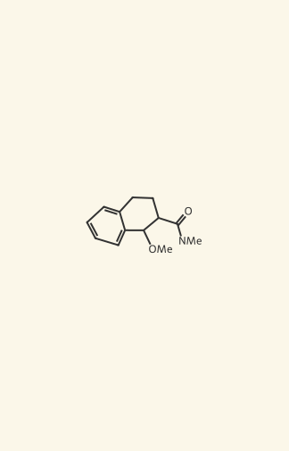 CNC(=O)C1CCc2ccccc2C1OC